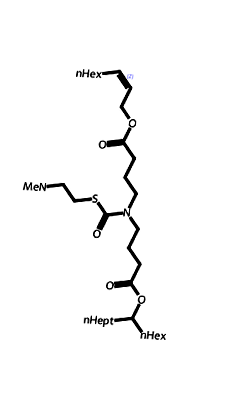 CCCCCC/C=C\COC(=O)CCCN(CCCC(=O)OC(CCCCCC)CCCCCCC)C(=O)SCCNC